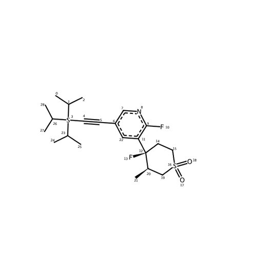 CC(C)S(C#Cc1cnc(F)c([C@]2(F)CCS(=O)(=O)C[C@H]2C)c1)(C(C)C)C(C)C